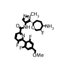 COCc1cc(F)c(-c2nc(C(=O)Nc3cnn(C)c3[C@@H]3CC[C@@H](N)[C@H](F)CO3)ccc2F)c(F)c1